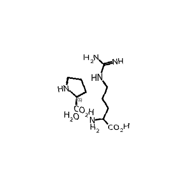 N=C(N)NCCCC(N)C(=O)O.O.O=C(O)[C@@H]1CCCN1